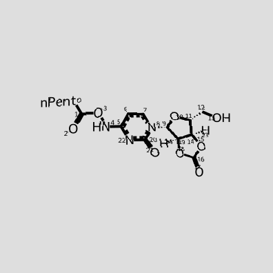 CCCCCC(=O)ONc1ccn([C@@H]2O[C@H](CO)[C@H]3OC(=O)O[C@H]32)c(=O)n1